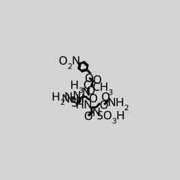 CC(C)(O/N=C(\C(=O)NC1C(=O)N(S(=O)(=O)O)C1COC(N)=O)c1csc(N)n1)C(=O)OCc1ccc([N+](=O)[O-])cc1.[NaH]